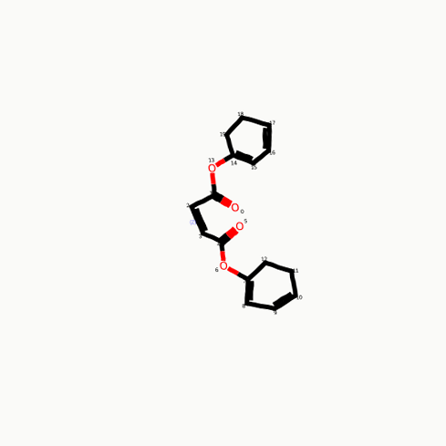 O=C(/C=C\C(=O)OC1=CC=CCC1)OC1=CC=CCC1